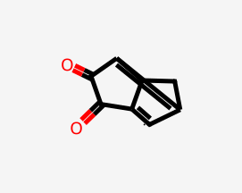 O=C1C(=O)C2=C3[C]=C1C2C3